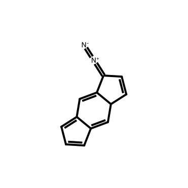 [N-]=[N+]=C1C=CC2C=C3C=CC=C3C=C12